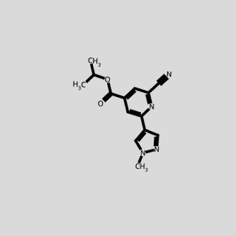 CC(C)OC(=O)c1cc(C#N)nc(-c2cnn(C)c2)c1